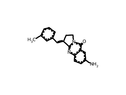 Cc1cccc(/C=C2\CCn3c2nc2ccc(N)cc2c3=O)c1